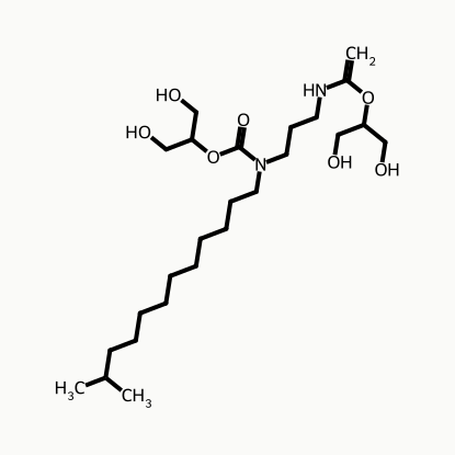 C=C(NCCCN(CCCCCCCCCCC(C)C)C(=O)OC(CO)CO)OC(CO)CO